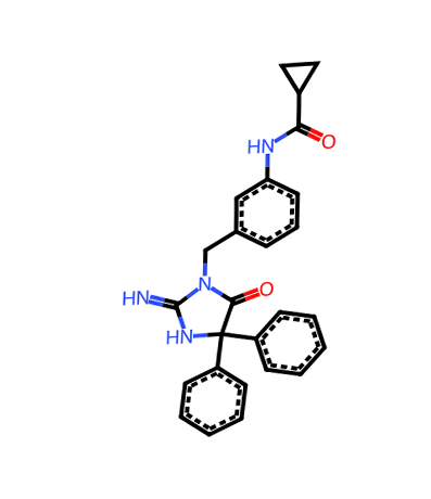 N=C1NC(c2ccccc2)(c2ccccc2)C(=O)N1Cc1cccc(NC(=O)C2CC2)c1